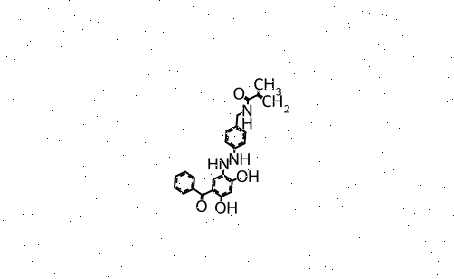 C=C(C)C(=O)NCc1ccc(NNc2cc(C(=O)c3ccccc3)c(O)cc2O)cc1